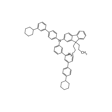 CCCC1(CCC)c2ccccc2-c2ccc(N(c3ccc(-c4cccc(C5CCCCC5)c4)cc3)c3cccc(-c4cccc(-c5ccc(C6CCCCC6)cc5)c4)c3)cc21